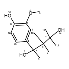 COc1cc(C(C)(O)C(C)(C)C(C)(C)O)ccc1O